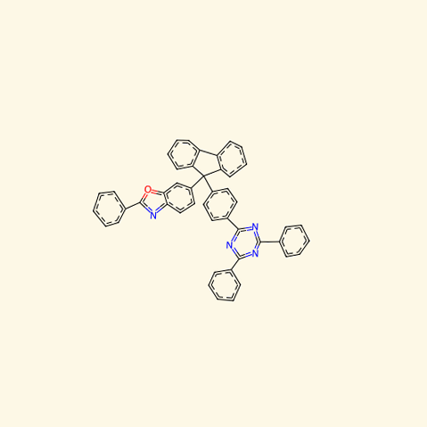 c1ccc(-c2nc(-c3ccccc3)nc(-c3ccc(C4(c5ccc6nc(-c7ccccc7)oc6c5)c5ccccc5-c5ccccc54)cc3)n2)cc1